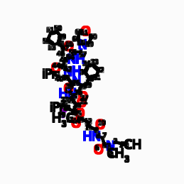 C#CCN(C)C(=O)CNC(=O)CCC(=O)OC(C)(CI)C(=O)[C@H](CC(C)C)NC(=O)[C@H](Cc1ccccc1)NC(=O)[C@H](CC(C)C)NC(=O)[C@H](CCc1ccccc1)NC(=O)CN1CCOCC1